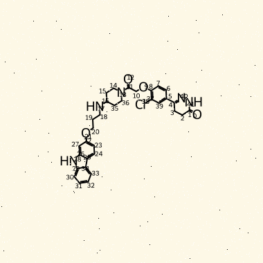 O=C1CCC(c2ccc(OCC(=O)N3CCC(NCCCOc4ccc5c(c4)[nH]c4ccccc45)CC3)c(Cl)c2)=NN1